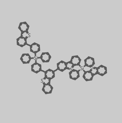 c1ccc([Si](c2ccccc2)(c2cccc(-c3cccc4c3sc3ccccc34)c2)c2cccc(-c3cc(-c4ccc5c(c4)sc4c([Si](c6ccccc6)(c6ccccc6)c6cccc7c6sc6ccccc67)cccc45)cc4c3sc3ccccc34)c2)cc1